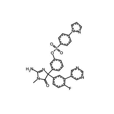 CN1C(=O)C(c2cccc(OS(=O)(=O)c3ccc(-n4cccn4)cc3)c2)(c2ccc(F)c(-c3cncnc3)c2)N=C1N